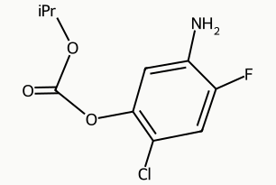 CC(C)OC(=O)Oc1cc(N)c(F)cc1Cl